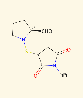 CCCN1C(=O)CC(SN2CCC[C@H]2C=O)C1=O